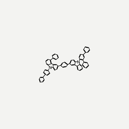 c1ccc(-c2ccc(-n3c4ccc(-c5ccc(-c6ccc7c(c6)c6ccccc6n7-c6ccc(-c7ccccc7)cc6-c6ccccc6)cc5)cc4c4c(-c5ccccc5)cccc43)cc2)cc1